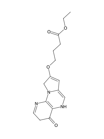 CCOC(=O)CCCOC1=CC2=CNC3=C(N=CCC3=O)N2C1